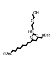 CCCCCCCCCCCCCCCCCCC(CCCCCCCCCCCCC)OC(=O)NCCCOCCO